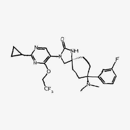 CN(C)[C@]1(c2cccc(F)c2)CC[C@]2(CC1)CN(c1cnc(C3CC3)nc1OCC(F)(F)F)C(=O)N2